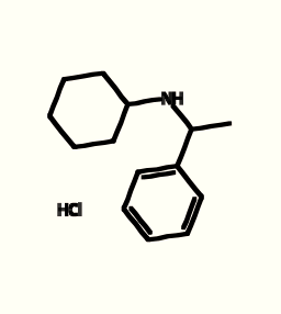 CC(NC1CCCCC1)c1ccccc1.Cl